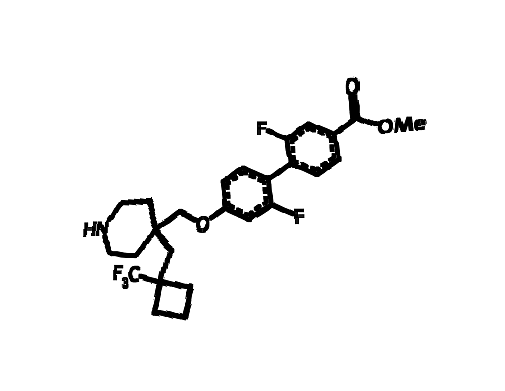 COC(=O)c1ccc(-c2ccc(OCC3(CC4(C(F)(F)F)CCC4)CCNCC3)cc2F)c(F)c1